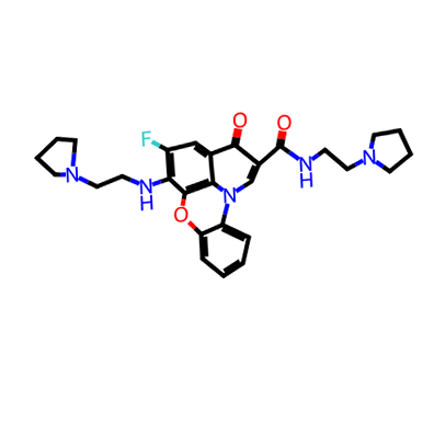 O=C(NCCN1CCCC1)c1cn2c3c(c(NCCN4CCCC4)c(F)cc3c1=O)Oc1ccccc1-2